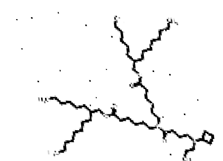 CCCCCCCCC(CCCCCC)COC(=O)CCCCCN(CCCCCC(=O)OCC(CCCCCC)CCCCCCCC)C(=O)CCCN(CCO)C1CCC1